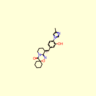 Cc1cn(-c2ccc(/C=C3\CCCN4C(=O)C5(CCCCC5)ON=C34)cc2O)cn1